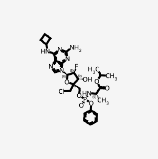 CC(C)OC(=O)[C@H](C)NP(=O)(OC[C@@]1(CCl)O[C@@H](n2cnc3c(NC4CCC4)nc(N)nc32)[C@@H](F)[C@@H]1O)Oc1ccccc1